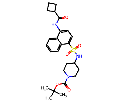 CC(C)(C)OC(=O)N1CCC(NS(=O)(=O)c2ccc(NC(=O)C3CCC3)c3ccccc23)CC1